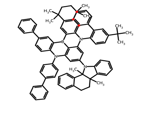 CC(C)(C)c1ccc(N2c3cc4c(cc3B3c5cc(-c6ccccc6)ccc5N(c5ccc(-c6ccccc6)cc5)c5cc(N6c7ccccc7C7(C)CCc8ccccc8C67C)cc2c53)C(C)(C)CCC4(C)C)c(-c2ccccc2)c1